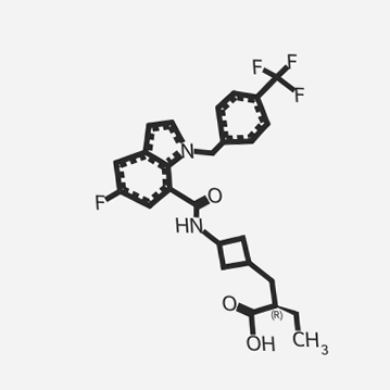 CC[C@H](CC1CC(NC(=O)c2cc(F)cc3ccn(Cc4ccc(C(F)(F)F)cc4)c23)C1)C(=O)O